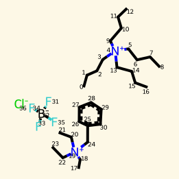 CCCC[N+](CCCC)(CCCC)CCCC.CC[N+](CC)(CC)Cc1ccccc1.F[B-](F)(F)F.[Cl-]